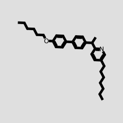 CCCCCCCc1ccc(C(C)c2ccc(-c3ccc(OCCCCCC)cc3)cc2)nc1